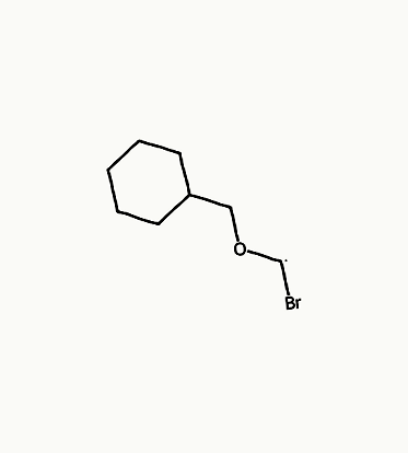 Br[CH]OCC1CCCCC1